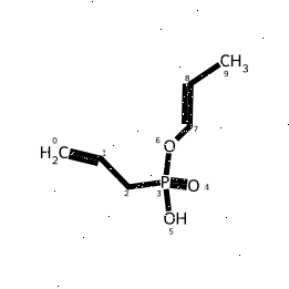 C=CCP(=O)(O)OC=CC